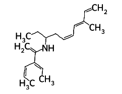 C=C/C(C)=C/C=C\CC(CC)NC(=C)C(/C=C\C)=C/C